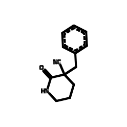 N#CC1(Cc2ccccc2)CCCNC1=O